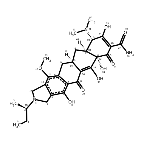 CC[C@@H](C)N1Cc2c(O)c3c(c(OC)c2C1)C[C@H]1C[C@H]2[C@H](N(C)C)C(O)=C(C(N)=O)C(=O)[C@@]2(O)C(O)=C1C3=O